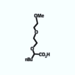 CCCCC(OCCOCCOC)C(=O)O